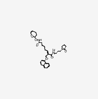 O=C(CCCC/C=C(\COc1cccc2ccccc12)C(=O)NCCCN1CCCC1=O)NOC1CCCCO1